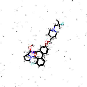 COC(=O)[C@]1(C)CCCN1C(=O)c1c(F)cccc1-c1ccc(OCC2CCN(CC(C)(C)F)CC2)cc1C#N